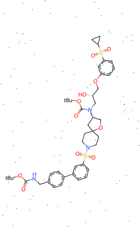 CC(C)(C)OC(=O)NCc1ccc(-c2cccc(S(=O)(=O)N3CCC4(CC3)C[C@@H](N(C[C@H](O)COc3cccc(S(=O)(=O)C5CC5)c3)C(=O)OC(C)(C)C)CO4)c2)cc1